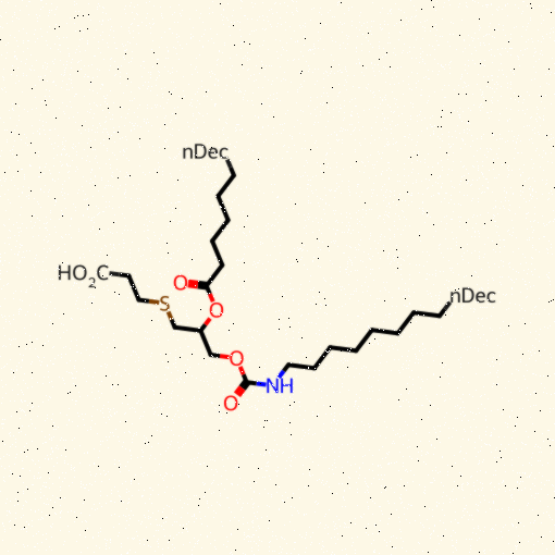 CCCCCCCCCCCCCCCCCCNC(=O)OCC(CSCCC(=O)O)OC(=O)CCCCCCCCCCCCCCC